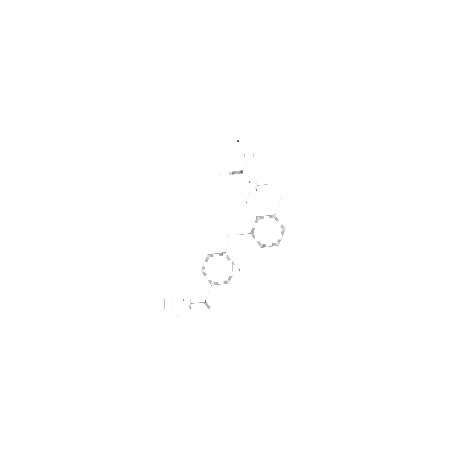 CC(C)(C)OC(=O)N1CCc2cccc(Oc3ccc(C(N)=O)cn3)c2C1